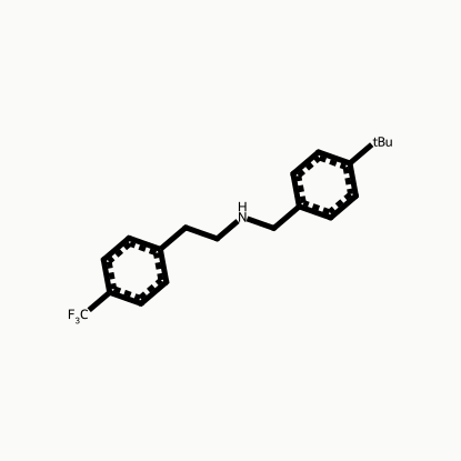 CC(C)(C)c1ccc(CNCCc2ccc(C(F)(F)F)cc2)cc1